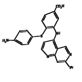 CC(C)c1cc2nccc(Nc3cc(C(=O)O)ccc3Sc3ccc(N)cc3)c2cn1